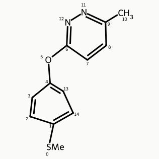 CSc1ccc(Oc2ccc(C)nn2)cc1